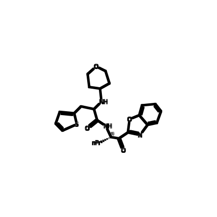 CCC[C@H](NC(=O)C(Cc1cccs1)NC1CCOCC1)C(=O)c1nc2ccccc2o1